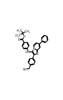 CC(C)(C)OC(=O)c1ccc(Nc2c(-c3ccc(CBr)cc3)nc3cc(-c4ccccc4)ccn23)cc1